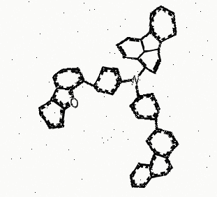 C1=CC2=C(N(c3ccc(-c4ccc5ccc6ccccc6c5c4)cc3)c3ccc(-c4cccc5c4oc4ccccc45)cc3)C=CC3c4ccccc4C(=C1)C23